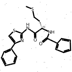 CSCC[C@H](NC(=O)c1ccccc1)C(=O)Nc1nc(-c2ccccc2)cs1